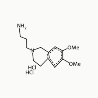 COc1cc2c(cc1OC)CN(CCCN)CC2.Cl.Cl